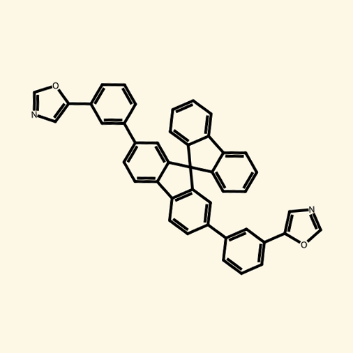 c1cc(-c2ccc3c(c2)C2(c4ccccc4-c4ccccc42)c2cc(-c4cccc(-c5cnco5)c4)ccc2-3)cc(-c2cnco2)c1